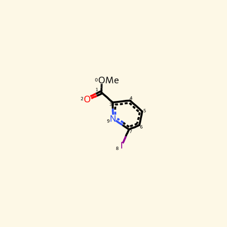 COC(=O)c1cccc(I)n1